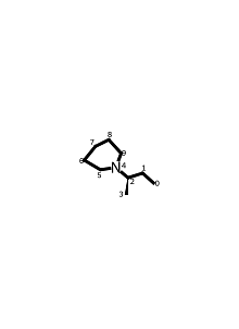 CC[C@@H](C)N1CCCCC1